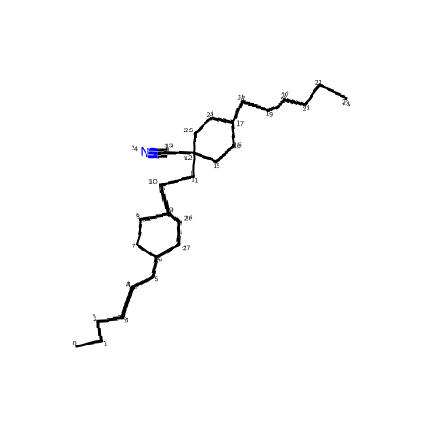 CCCCCCC1CCC(CCC2(C#N)CCC(CCCCCC)CC2)CC1